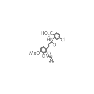 COc1ccc(/C=C/C(=O)Nc2cc(Cl)ccc2C(=O)O)c(OCCN(C)C)c1OC